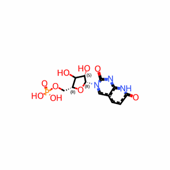 O=c1ccc2cn([C@@H]3O[C@H](COP(=O)(O)O)C(O)[C@@H]3O)c(=O)nc2[nH]1